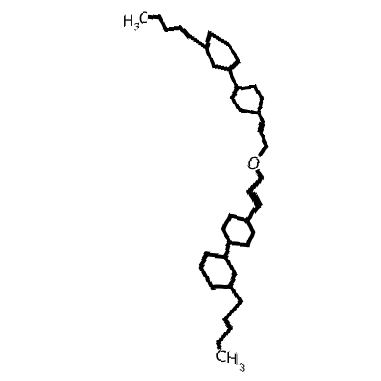 CCCCCC1CCCC(C2CCC(C=CCOCC=CC3CCC(C4CCCC(CCCCC)C4)CC3)CC2)C1